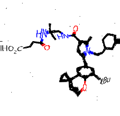 Cc1c(C(=O)NCC(C)(C)NC(=O)CCC(=O)O)cc(-c2cc(C(C)(C)C)c3c(c2)C2(CCO3)CC2)n1CC1CCCCC1